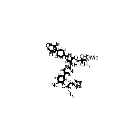 COCC(C)(C)COc1nn(C2CCC(N3[C@@H]4CC[C@H]3COC4)CC2)cc1Nc1ncc(-c2ccc(C#N)c(OC(C)Cn3cnnn3)c2)cn1